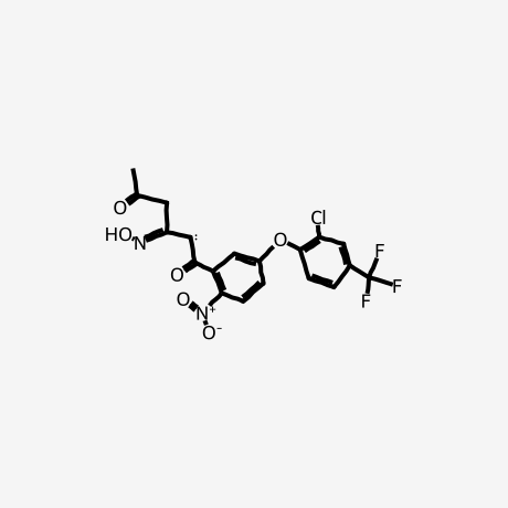 CC(=O)CC([C]C(=O)c1cc(Oc2ccc(C(F)(F)F)cc2Cl)ccc1[N+](=O)[O-])=NO